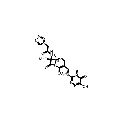 COC1(NC(=O)Cn2cnnn2)C(=O)N2C(C(=O)O)=C(CSc3nnc(O)c(=O)n3C)CS[C@@H]21